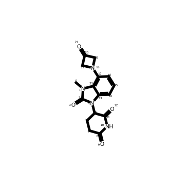 Cn1c(=O)n(C2CCC(=O)NC2=O)c2cccc(N3CC(=O)C3)c21